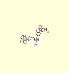 CN1C(=O)CCc2cc(-c3n[nH]cc3CC3CCN(C(=O)c4ncccc4Cl)CC3)ccc21